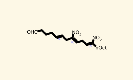 CCCCCCCC/C(=C/C/C=C(/C/C=C/CCC[C]=O)[N+](=O)[O-])[N+](=O)[O-]